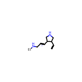 C=CC1CNCC1/C=C/CNCC